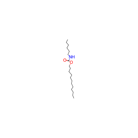 CCCCCCCCCCCCOC(=O)NCCCCCC